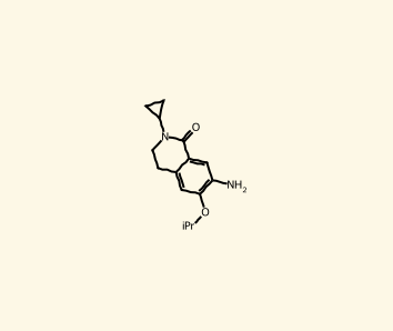 CC(C)Oc1cc2c(cc1N)C(=O)N(C1CC1)CC2